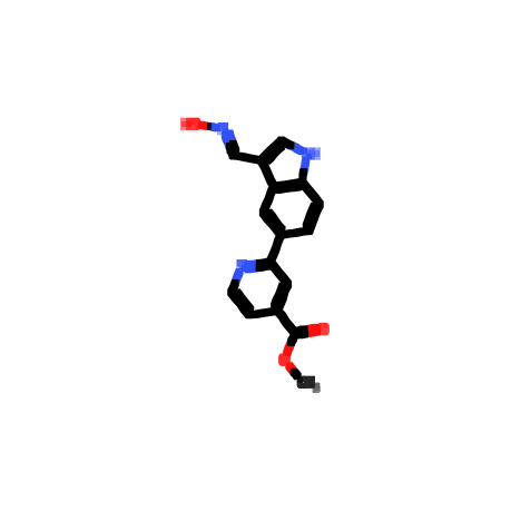 COC(=O)c1ccnc(-c2ccc3[nH]cc(/C=N/O)c3c2)c1